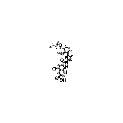 CCCC(C)OCc1cccc(-c2csc(NC(=O)c3cc(Cl)c(C=C(C)C(=O)O)c(Cl)c3)n2)c1OC